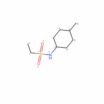 CCS(=O)(=O)NC1CCC(C)CC1